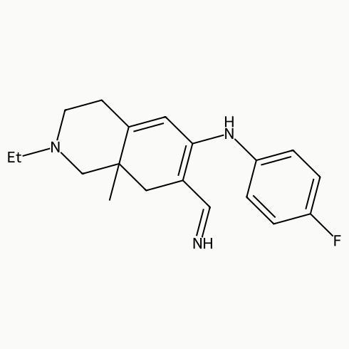 CCN1CCC2=CC(Nc3ccc(F)cc3)=C(C=N)CC2(C)C1